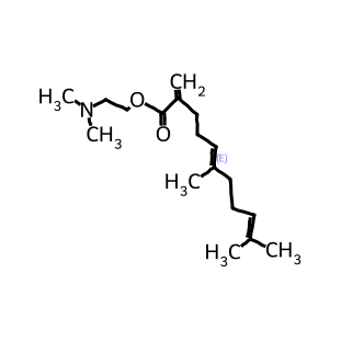 C=C(CC/C=C(\C)CCC=C(C)C)C(=O)OCCN(C)C